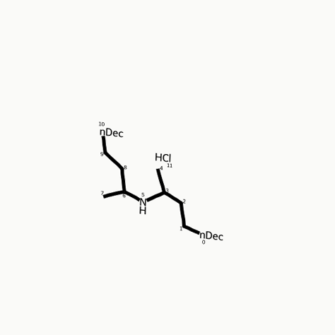 CCCCCCCCCCCCC(C)NC(C)CCCCCCCCCCCC.Cl